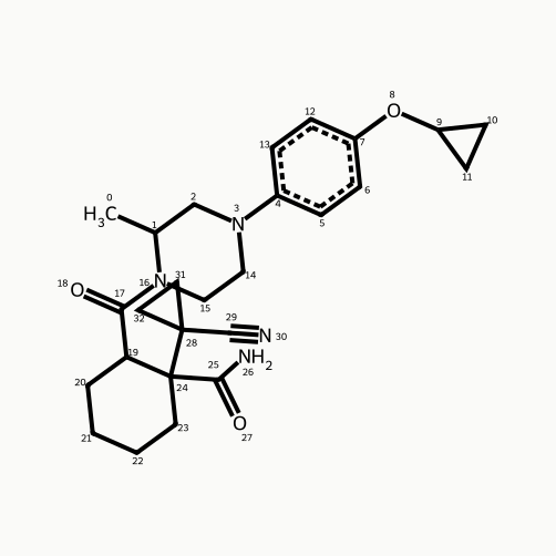 CC1CN(c2ccc(OC3CC3)cc2)CCN1C(=O)C1CCCCC1(C(N)=O)C1(C#N)CC1